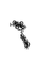 C#CC(CCCCN1CCN(C2CCN(C(=O)OC(C)(C)C)CC2)CC1)c1cccc2c1CN(C1CCC(=O)NC1=O)C2=O